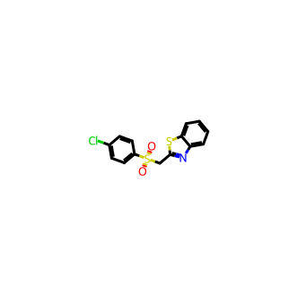 O=S(=O)(Cc1nc2ccccc2s1)c1ccc(Cl)cc1